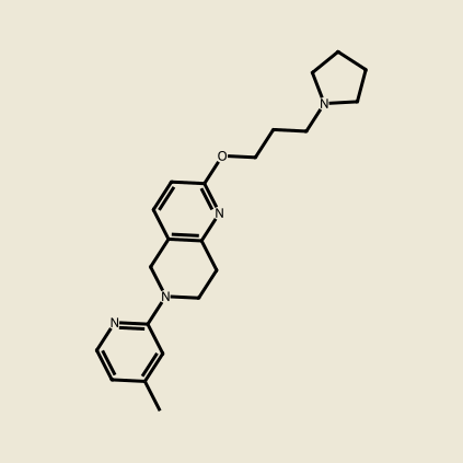 Cc1ccnc(N2CCc3nc(OCCCN4CCCC4)ccc3C2)c1